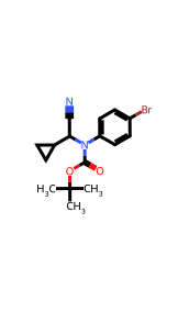 CC(C)(C)OC(=O)N(c1ccc(Br)cc1)C(C#N)C1CC1